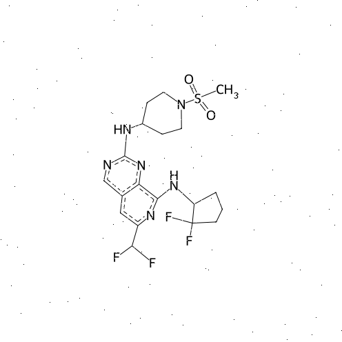 CS(=O)(=O)N1CCC(Nc2ncc3cc(C(F)F)nc(NC4CCCC4(F)F)c3n2)CC1